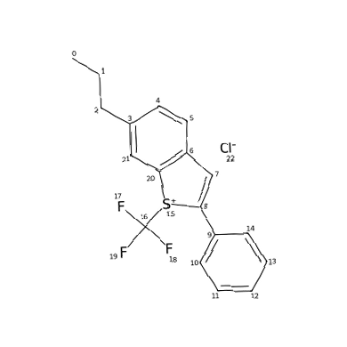 CCCc1ccc2cc(-c3ccccc3)[s+](C(F)(F)F)c2c1.[Cl-]